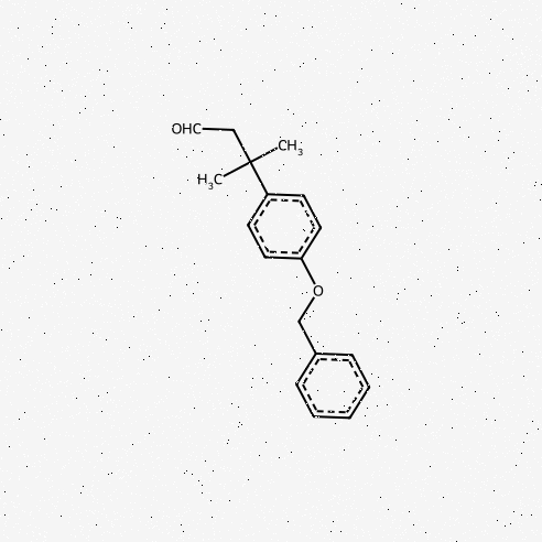 CC(C)(CC=O)c1ccc(OCc2ccccc2)cc1